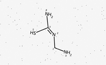 NCN=C(N)S